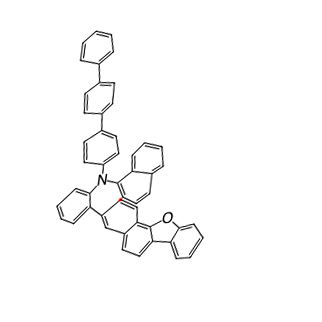 c1ccc(-c2ccc(-c3ccc(N(c4ccccc4-c4ccc5c(ccc6c7ccccc7oc56)c4)c4cccc5ccccc45)cc3)cc2)cc1